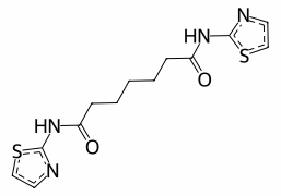 O=C(CCCCCC(=O)Nc1nccs1)Nc1nccs1